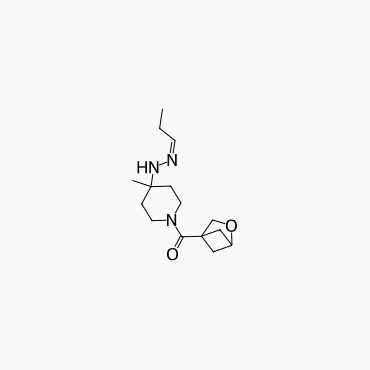 CC/C=N\NC1(C)CCN(C(=O)C23COC(C2)C3)CC1